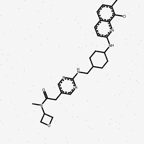 Cc1ccc2ccc(NC3CCC(CNc4ncc(CC(=O)N(C)C5COC5)cn4)CC3)nc2c1Cl